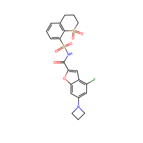 O=C(NS(=O)(=O)c1cccc2c1S(=O)(=O)CCC2)c1cc2c(F)cc(N3CCC3)cc2o1